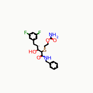 NC(=O)OCCSC(C(=O)NCc1ccccc1)C(O)[CH]Cc1cc(F)cc(F)c1